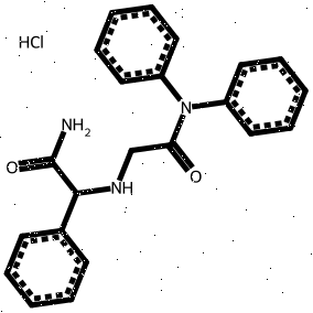 Cl.NC(=O)C(NCC(=O)N(c1ccccc1)c1ccccc1)c1ccccc1